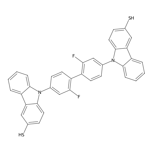 Fc1cc(-n2c3ccccc3c3cc(S)ccc32)ccc1-c1ccc(-n2c3ccccc3c3cc(S)ccc32)cc1F